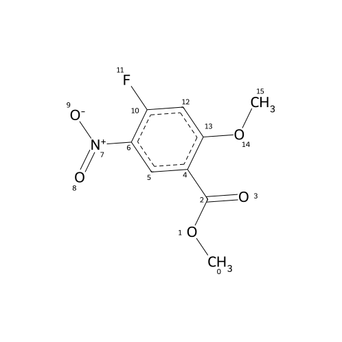 COC(=O)c1cc([N+](=O)[O-])c(F)cc1OC